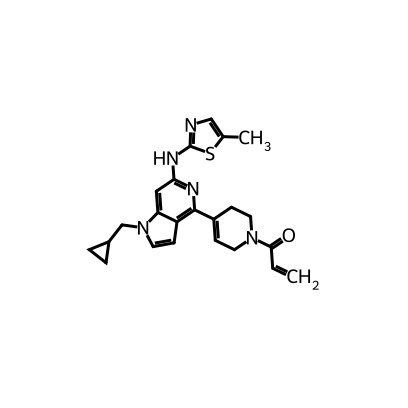 C=CC(=O)N1CC=C(c2nc(Nc3ncc(C)s3)cc3c2ccn3CC2CC2)CC1